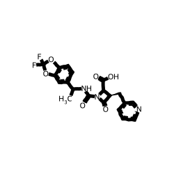 CC(NC(=O)N1C(=O)[C@H](Cc2cccnc2)C1C(=O)O)c1ccc2c(c1)OC(F)(F)O2